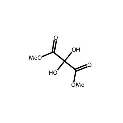 COC(=O)C(O)(O)C(=O)OC